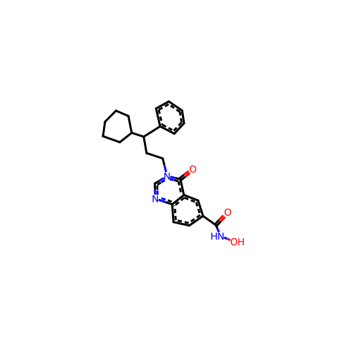 O=C(NO)c1ccc2ncn(CCC(c3ccccc3)C3CCCCC3)c(=O)c2c1